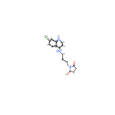 O=C1CCC(=O)N1CCCCNc1ccnc2cc(Cl)ccc12